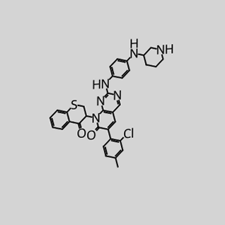 Cc1ccc(-c2cc3cnc(Nc4ccc(NC5CCCNC5)cc4)nc3n(C3CSc4ccccc4C3=O)c2=O)c(Cl)c1